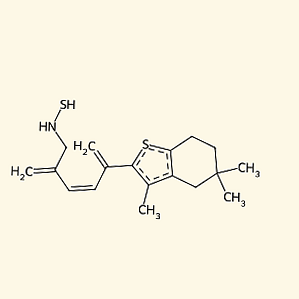 C=C(/C=C\C(=C)c1sc2c(c1C)CC(C)(C)CC2)CNS